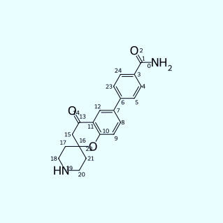 NC(=O)c1ccc(-c2ccc3c(c2)C(=O)CC2(CCNCC2)O3)cc1